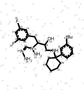 CC(C)(C)c1cccc(C2(NCC(O)C(Cc3cc(F)cc(F)c3)N(N)/C=N\N)CCCCC2)c1